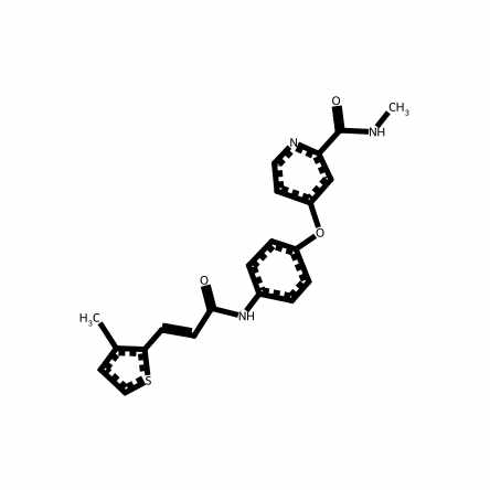 CNC(=O)c1cc(Oc2ccc(NC(=O)/C=C/c3sccc3C)cc2)ccn1